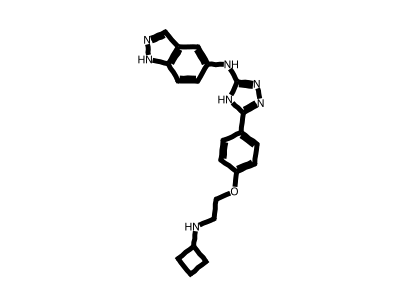 c1cc2[nH]ncc2cc1Nc1nnc(-c2ccc(OCCNC3CCC3)cc2)[nH]1